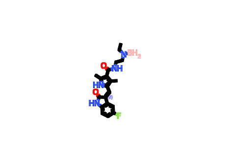 BN(CC)CCNC(=O)c1c(C)[nH]c(/C=C2\C(=O)Nc3ccc(F)cc32)c1C